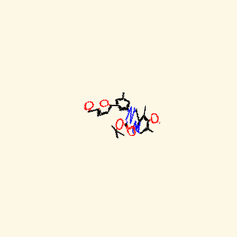 COc1c(C)cnc(CN(C(=O)OC(C)(C)C)c2cc(C)cc(-c3ccc(C=O)o3)c2)c1C